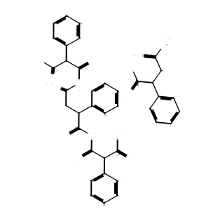 O=C(CC(C(=O)OC(=O)C(C(=O)O)c1ccccc1)c1ccccc1)OC(=O)C(C(=O)O)c1ccccc1.O=C(O)CC(C(=O)O)c1ccccc1